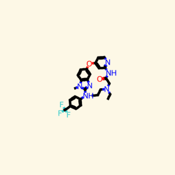 CCCN(CC)CC(=O)Nc1cc(Oc2ccc3c(c2)nc(Nc2ccc(C(F)(F)F)cc2)n3C)ccn1